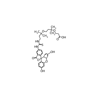 CC(C)(CCNC(=S)Nc1ccc2c(c1)C(=O)OC21c2ccc(O)cc2OC2C=C(O)C=CC21)OCCC(C)(C)OCCC(=O)O